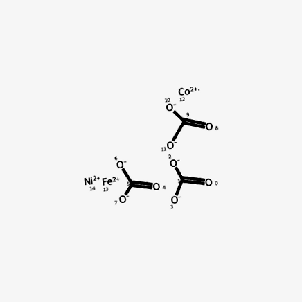 O=C([O-])[O-].O=C([O-])[O-].O=C([O-])[O-].[Co+2].[Fe+2].[Ni+2]